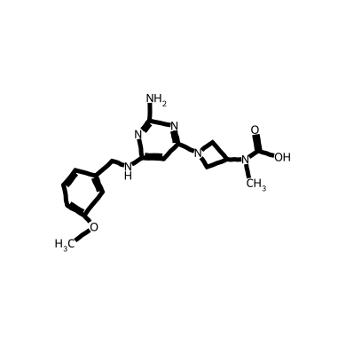 COc1cccc(CNc2cc(N3CC(N(C)C(=O)O)C3)nc(N)n2)c1